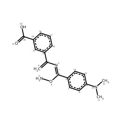 C=C(/N=C(\ON)c1ccc(N(C)C)cc1)c1cccc(C(=O)O)c1